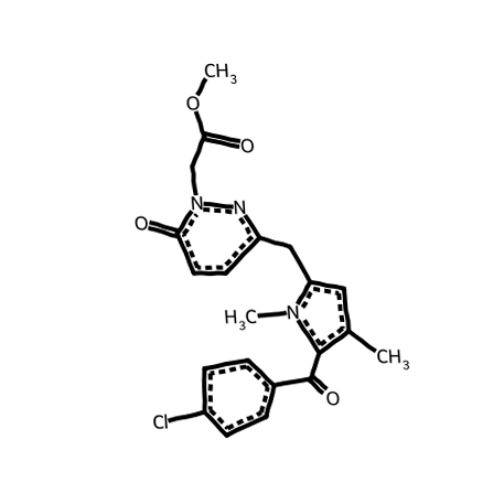 COC(=O)Cn1nc(Cc2cc(C)c(C(=O)c3ccc(Cl)cc3)n2C)ccc1=O